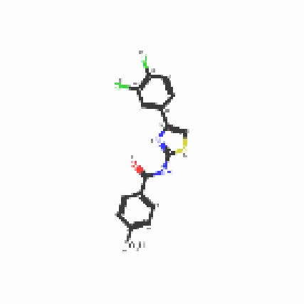 O=C(O)c1ccc(C(=O)Nc2nc(-c3ccc(Cl)c(Cl)c3)cs2)cc1